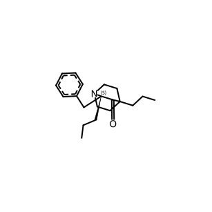 CCCC12CCN(CC1)[C@@](CCC)(Cc1ccccc1)C2=O